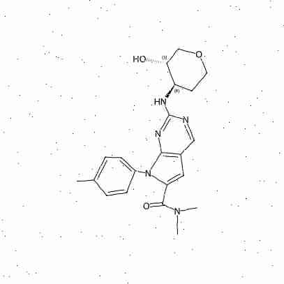 Cc1ccc(-n2c(C(=O)N(C)C)cc3cnc(N[C@@H]4CCOC[C@H]4O)nc32)cc1